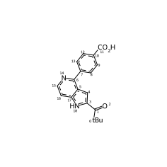 CC(C)(C)C(=O)c1cc2c(-c3ccc(C(=O)O)cc3)nccc2[nH]1